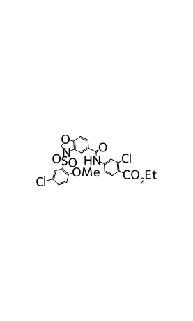 CCOC(=O)c1ccc(NC(=O)c2ccc3c(c2)N(S(=O)(=O)c2cc(Cl)ccc2OC)CO3)cc1Cl